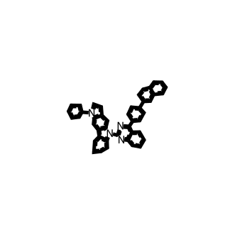 c1ccc(-n2ccc3cc4c(cc32)c2ccccc2n4-c2nc(-c3ccc(-c4ccc5ccccc5c4)cc3)c3ccccc3n2)cc1